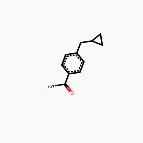 CCCC(=O)c1ccc(CC2CC2)cc1